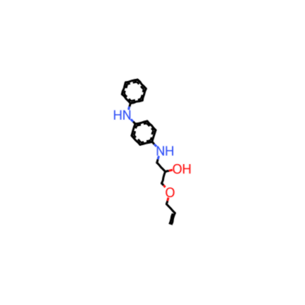 C=CCOCC(O)CNc1ccc(Nc2ccccc2)cc1